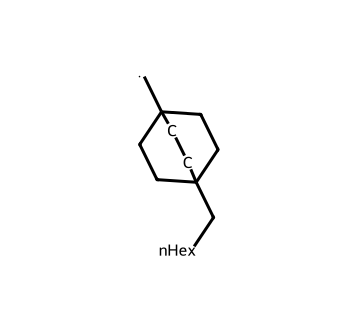 [CH2]C12CCC(CCCCCCC)(CC1)CC2